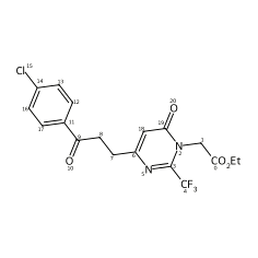 CCOC(=O)Cn1c(C(F)(F)F)nc(CCC(=O)c2ccc(Cl)cc2)cc1=O